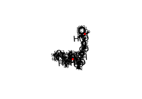 CCCCC(CC)(NC(=O)C1CCN(C(=O)Oc2ccc(C[C@H](NC(=O)[C@H](C)[C@@H](OC)[C@@H]3CCCN3C(=O)C[C@@H](OC)C([C@@H](C)CC)N(C)C(=O)[C@@H](NC(=O)[C@H](C(C)C)N(C)C)C(C)C)C(=O)NS(=O)(=O)C3CC3)cc2)CC1)C1CCCCCCCC1